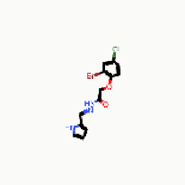 O=C(COc1ccc(Cl)cc1Br)N/N=C/c1ccc[nH]1